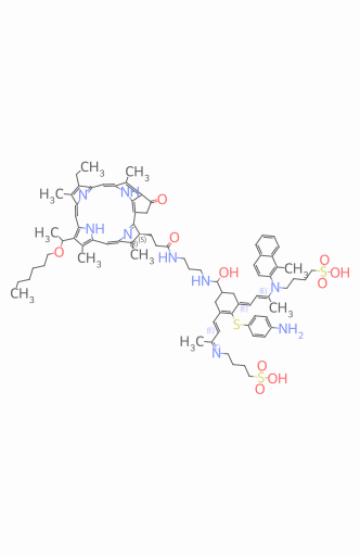 CCCCCCOC(C)c1c(C)c2cc3nc(c4c5[nH]c(cc6nc(cc1[nH]2)C(C)=C6CC)c(C)c5C(=O)C4)[C@@H](CCC(=O)NCCCNC(O)C1CC(/C=C/C(C)=N\CCCCS(=O)(=O)O)=C(Sc2ccc(N)cc2)C(=C/C=C(\C)N(CCCCS(=O)(=O)O)c2ccc4ccccc4c2C)/C1)[C@H]3C